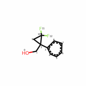 OCC1(c2ccccc2)CC1(F)F